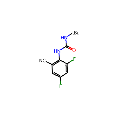 CC(C)(C)NC(=O)Nc1c(F)cc(F)cc1C#N